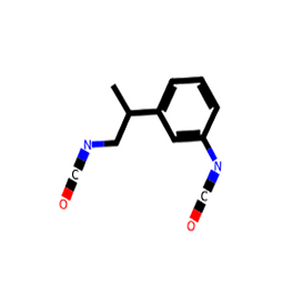 CC(CN=C=O)c1cccc(N=C=O)c1